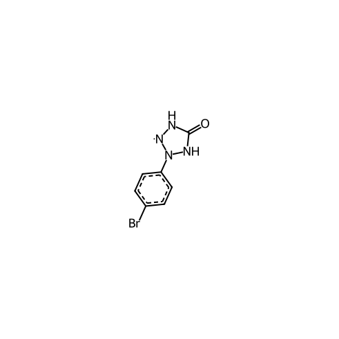 O=C1N[N]N(c2ccc(Br)cc2)N1